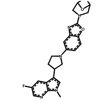 Cn1cc(C2CCN(c3ccc4oc(N5CC6CC(C5)O6)nc4c3)C2)c2cc(F)cnc21